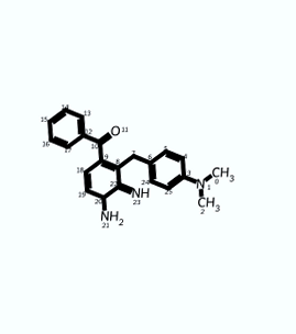 CN(C)c1ccc(CC2=C(C(=O)c3ccccc3)C=CC(N)C2=N)cc1